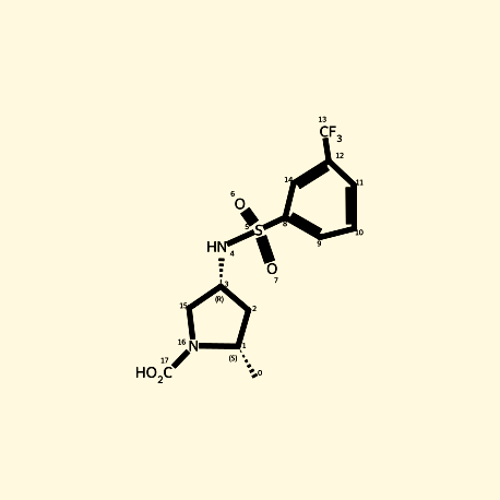 C[C@H]1C[C@@H](NS(=O)(=O)c2cccc(C(F)(F)F)c2)CN1C(=O)O